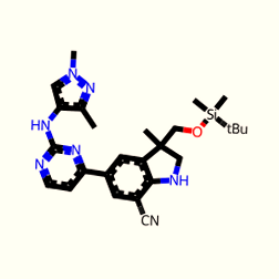 Cc1nn(C)cc1Nc1nccc(-c2cc(C#N)c3c(c2)C(C)(CO[Si](C)(C)C(C)(C)C)CN3)n1